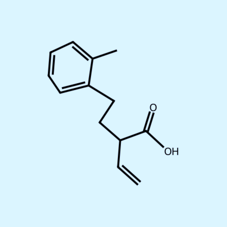 C=CC(CCc1ccccc1C)C(=O)O